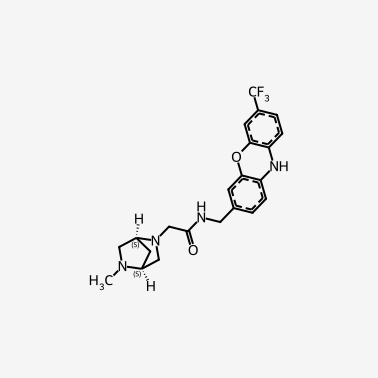 CN1C[C@@H]2C[C@H]1CN2CC(=O)NCc1ccc2c(c1)Oc1cc(C(F)(F)F)ccc1N2